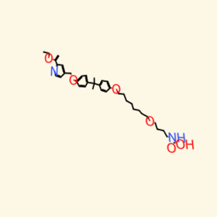 C=C(OCC)c1cc(COc2ccc(C(C)(C)c3ccc(OCCCCCCCCOCCCCNC(=O)O)cc3)cc2)ccn1